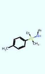 CCS(C)(NC(C)C)c1ccc(C)cc1